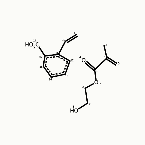 C=C(C)C(=O)OCCO.C=Cc1ccccc1C(=O)O